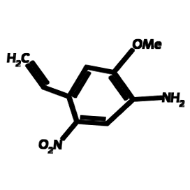 C=Cc1cc(OC)c(N)cc1[N+](=O)[O-]